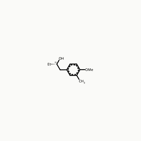 CC[C@H](O)Cc1ccc(OC)c(C)c1